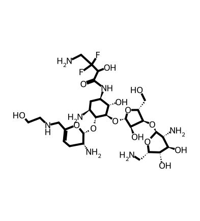 NC[C@@H]1O[C@H](O[C@H]2[C@@H](O)[C@H](O[C@@H]3[C@@H](O)[C@H](NC(=O)C(O)C(F)(F)CN)C[C@H](N)[C@H]3O[C@H]3OC(CNCCO)=CC[C@H]3N)O[C@@H]2CO)[C@H](N)[C@@H](O)[C@@H]1O